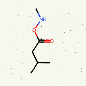 CNOC(=O)CC(C)C